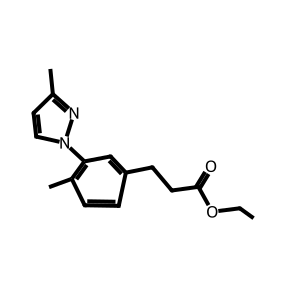 CCOC(=O)CCc1ccc(C)c(-n2ccc(C)n2)c1